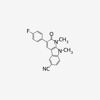 Cn1c(=O)c(-c2ccc(F)cc2)cc2c3cc(C#N)ccc3n(C)c21